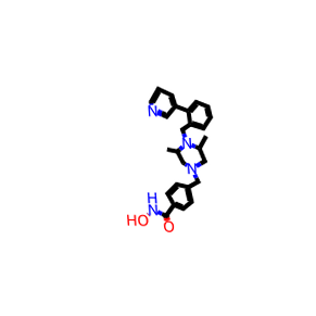 CC1CN(Cc2ccc(C(=O)NO)cc2)CC(C)N1Cc1ccccc1-c1cccnc1